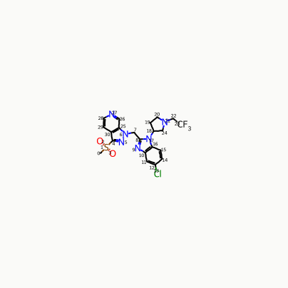 CS(=O)(=O)c1nn(Cc2nc3cc(Cl)ccc3n2C2CCN(CC(F)(F)F)C2)c2cnccc12